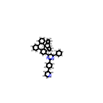 c1ccc(-c2cc(-c3ccc4c(c3)C3(c5ccccc5-c5ccccc5-4)c4ccccc4-c4ccccc43)nc(-c3ccc(-c4cccnc4)cc3)n2)cc1